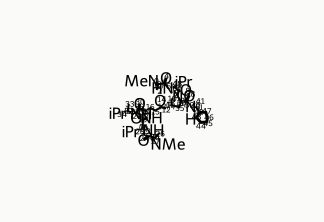 CN[C@@H](C)C(=O)N[C@H](C(=O)N1C[C@@H](CC(=O)CC[C@@H](NC(=O)[C@H](NC(=O)[C@@H](C)NC)C(C)C)C(=O)N[C@@H](C)C(C)C)C[C@H]1C(=O)N[C@H](C)c1ccccc1)C(C)C